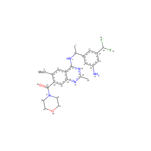 COc1cc2c(NC(C)c3cc(N)cc(C(F)F)c3)nc(C)nc2cc1C(=O)N1CCOCC1